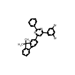 CC1(C)c2ccccc2-c2ccc(-c3cc(-c4cc(Br)cc(Br)c4)nc(-c4ccccc4)n3)cc21